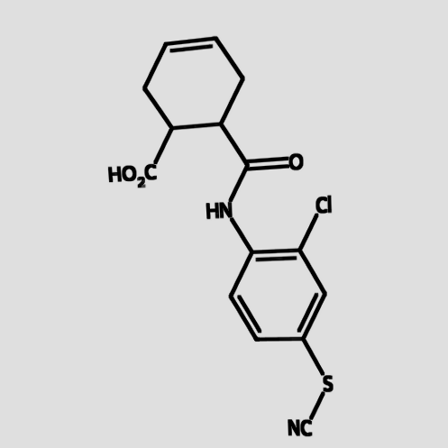 N#CSc1ccc(NC(=O)C2CC=CCC2C(=O)O)c(Cl)c1